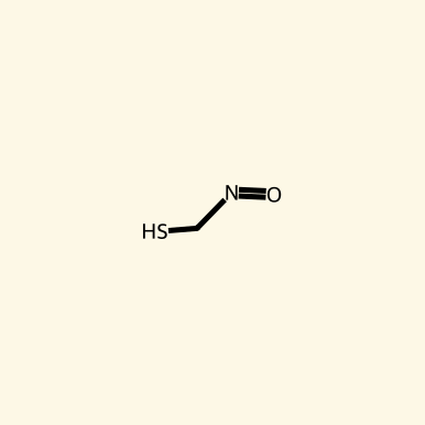 O=NCS